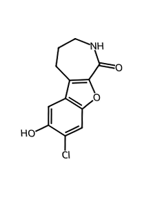 O=C1NCCCc2c1oc1cc(Cl)c(O)cc21